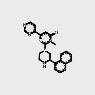 Cn1c(N2CCNC(c3cccc4ccccc34)C2)nc(-c2ccncn2)cc1=O